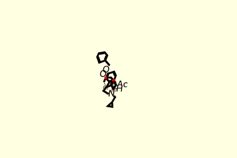 CC(=O)O[C@@]12CCC(=O)C[C@@]13CCN(CC1CC1)[C@@H]2Cc1ccc(OCc2ccccc2)cc13